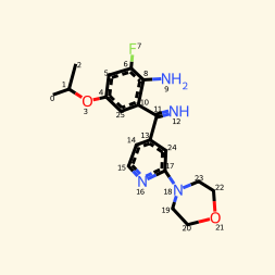 CC(C)Oc1cc(F)c(N)c(C(=N)c2ccnc(N3CCOCC3)c2)c1